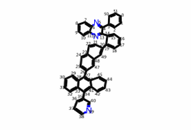 c1ccc(-c2nc3ccccc3nc2-c2ccccc2-c2ccc3ccc(-c4c5ccccc5c(-c5cccnc5)c5ccccc45)cc3c2)cc1